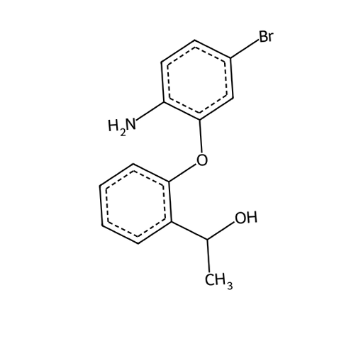 CC(O)c1ccccc1Oc1cc(Br)ccc1N